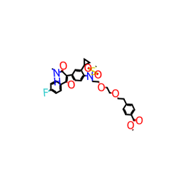 CNC(=O)c1c(-c2ccc(F)cc2)oc2cc(N(CCOCCOCCc3ccc(C(=O)OC)cc3)S(C)(=O)=O)c(C3CC3)cc12